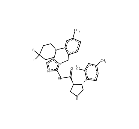 Cc1ccc([C@@H]2CNC[C@H]2C(=O)Nc2nccn2Cc2ccc(C)cc2N2CCC(F)(F)CC2)c(C)c1